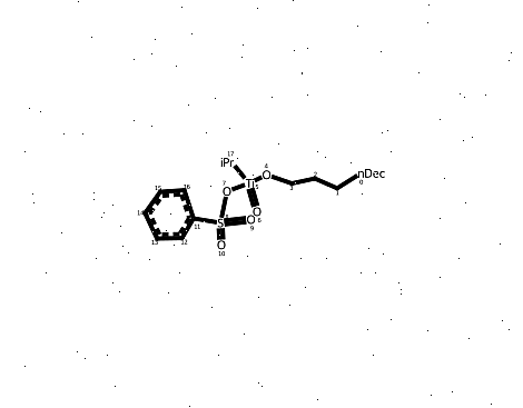 CCCCCCCCCCCCC[O][Ti](=[O])([O]S(=O)(=O)c1ccccc1)[CH](C)C